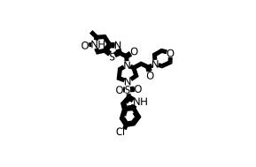 CC1Cc2nc(C(=O)N3CCN(S(=O)(=O)c4cc5cc(Cl)ccc5[nH]4)CC3CC(=O)N3CCOCC3)sc2C[NH+]1[O-]